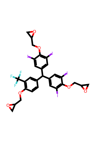 FC(F)(F)c1cc(C(c2cc(I)c(OCC3CO3)c(I)c2)c2cc(I)c(OCC3CO3)c(I)c2)ccc1OCC1CO1